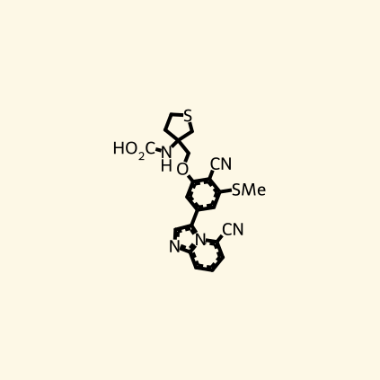 CSc1cc(-c2cnc3cccc(C#N)n23)cc(OCC2(NC(=O)O)CCSC2)c1C#N